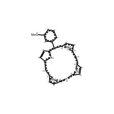 COc1cccc(-c2c3nc(cc4ccc(cc5nc(cc6ccc2[nH]6)C=C5)[nH]4)C=C3)c1